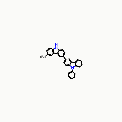 CC(C)(C)c1ccc2[nH]c3ccc(-c4ccc5c(c4)c4ccccc4n5-c4ccccc4)cc3c2c1